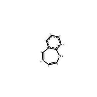 C1=COc2ncccc2C=N1